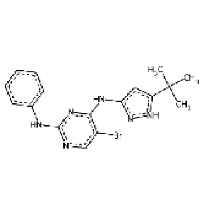 CC(C)(C)c1cc(Nc2nc(Nc3ccccc3)ncc2Br)n[nH]1